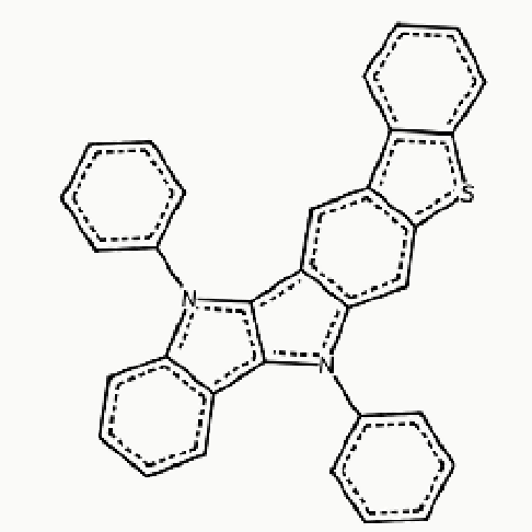 c1ccc(-n2c3ccccc3c3c2c2cc4c(cc2n3-c2ccccc2)sc2ccccc24)cc1